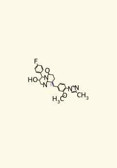 COc1cc(/C=C2\CCC(=O)N3C2=NCC(O)C3c2ccc(F)cc2)ccc1-n1cnc(C)c1